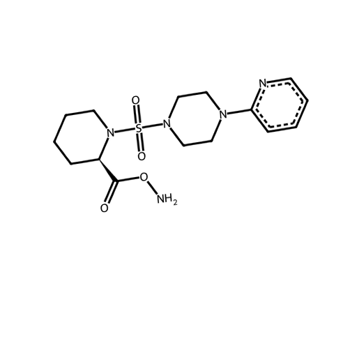 NOC(=O)[C@H]1CCCCN1S(=O)(=O)N1CCN(c2ccccn2)CC1